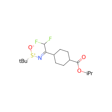 CC(C)OC(=O)C1CCC(C(=N[S@@+]([O-])C(C)(C)C)C(F)F)CC1